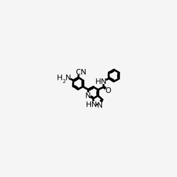 N#Cc1cc(-c2cc(C(=O)Nc3ccccc3)c3cn[nH]c3n2)ccc1N